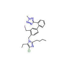 CCCCc1nc(Cl)c(CC)n1Cc1ccc(-c2ccccc2-c2nnn(C)n2)cc1CI